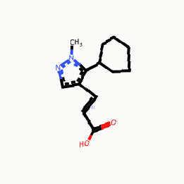 Cn1ncc(/C=C/C(=O)O)c1C1CCCCC1